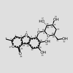 Cc1cc2oc3c(O[C@@H]4O[C@H](CO)C[C@H](O)[C@H]4O)c(O)c(O)cc3c2c(=O)o1